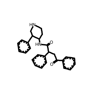 O=C(CC(C(=O)NC1CCNCC1c1ccccc1)c1ccccc1)c1ccccc1